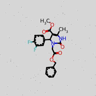 COC(=O)C1=C(C)NC(=O)N(CC(=O)OCc2ccccc2)C1c1ccc(F)c(F)c1